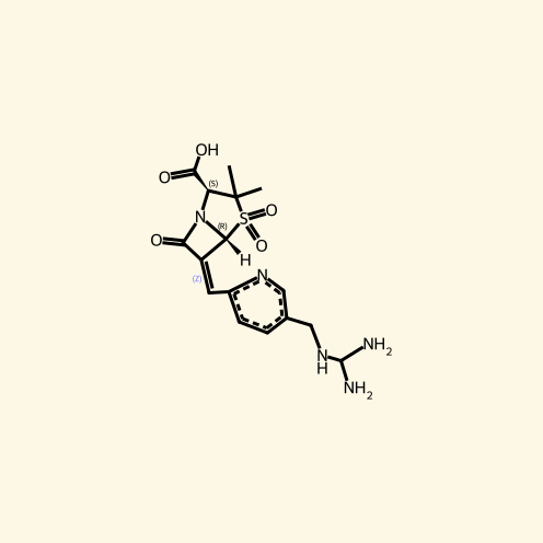 CC1(C)[C@H](C(=O)O)N2C(=O)/C(=C/c3ccc(CNC(N)N)cn3)[C@H]2S1(=O)=O